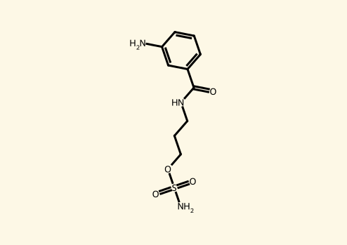 Nc1cccc(C(=O)NCCCOS(N)(=O)=O)c1